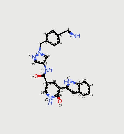 N=Cc1ccc(Cn2cc(NC(=O)c3c[nH]c(=O)c(-c4cc5ccccc5[nH]4)c3)cn2)cc1